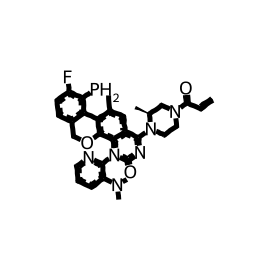 C=CC(=O)N1CCN(c2nc(=O)n(-c3ncccc3N(C)C)c3c4c(c(C)cc23)-c2c(ccc(F)c2P)CO4)[C@@H](C)C1